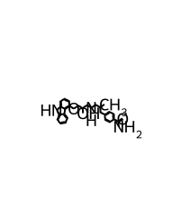 CC(CNCC(O)COc1cccc2[nH]c3ccccc3c12)Cc1ccc(C(N)=O)cc1